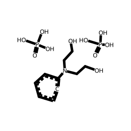 O=P(O)(O)O.O=P(O)(O)O.OCCN(CCO)c1ccccc1